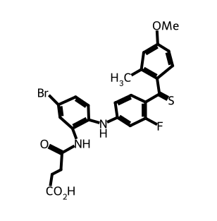 COc1ccc(C(=S)c2ccc(Nc3ccc(Br)cc3NC(=O)CCC(=O)O)cc2F)c(C)c1